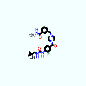 CC(C)(C)NC(=O)c1cccc(CN2CCN(C(=O)c3ccc(NC(=O)NCC4(C#N)CC4)c(F)c3)CC2)c1